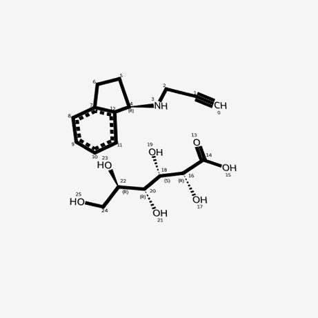 C#CCN[C@@H]1CCc2ccccc21.O=C(O)[C@H](O)[C@@H](O)[C@H](O)[C@H](O)CO